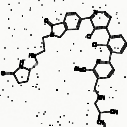 COc1nc(-c2cccc(-c3ccnc(-c4ccc5c(c4)CN(CCNC[C@@H]4CCC(=O)N4)C5=O)c3Cl)c2Cl)ccc1CNC[C@H](C)O